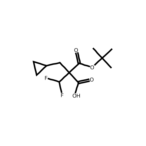 CC(C)(C)OC(=O)C(CC1CC1)(C(=O)O)C(F)F